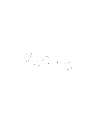 COc1cc(NC(=O)[C@@H](O)c2ccccc2)ccc1S(=O)(=O)Nc1cccc(OC(F)(F)F)c1